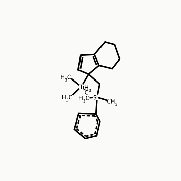 C[Si](C)(C[C]1([Ti]([CH3])([CH3])[CH3])C=CC2=C1CCCC2)c1ccccc1